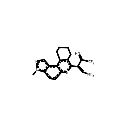 Cn1ncc2c3c4c(c(/C(=C/N)C(=N)C(F)(F)F)nc3ccc21)CCCC4